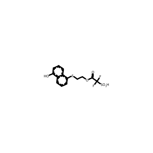 O=C(OCCSc1cccc2c(O)cccc12)C(F)(F)S(=O)(=O)O